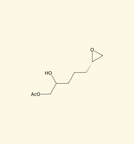 CC(=O)OCC(O)CCC[C@H]1CO1